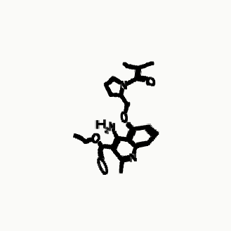 CCOC(=O)c1c(C)nc2cccc(OCC3CCCN3C(=O)C(C)C)c2c1N